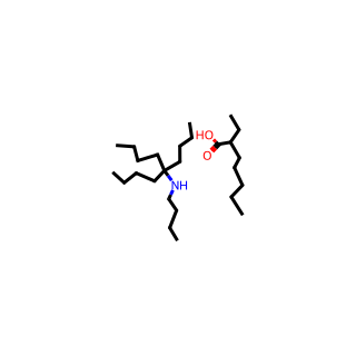 CCCCCC(CC)C(=O)O.CCCCNC(CCCC)(CCCC)CCCC